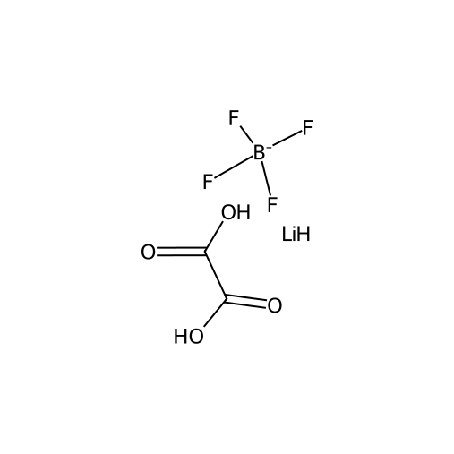 F[B-](F)(F)F.O=C(O)C(=O)O.[LiH]